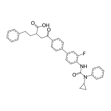 O=C(CC(CCc1ccccc1)C(=O)O)c1ccc(-c2ccc(NC(=O)N(c3ccccc3)C3CC3)c(F)c2)cc1